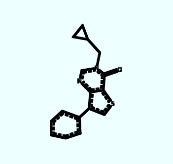 O=c1c2scc(-c3ccccc3)c2ncn1CC1CC1